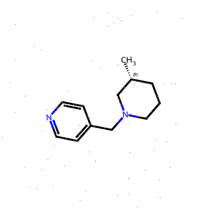 C[C@@H]1CCCN(Cc2ccncc2)C1